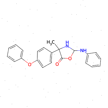 CC1(c2ccc(Oc3ccccc3)cc2)NC(Nc2ccccc2)OC1=O